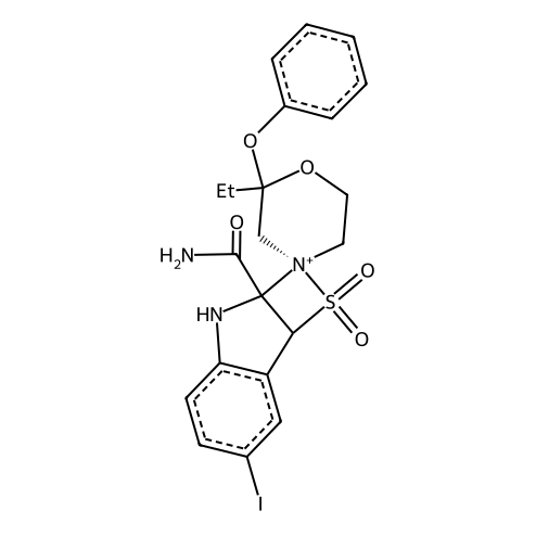 CCC1(Oc2ccccc2)C[N@@+]2(CCO1)C1(C(N)=O)Nc3ccc(I)cc3C1S2(=O)=O